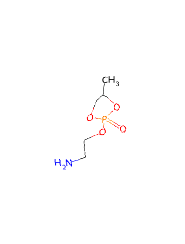 CC1COP(=O)(OCCN)O1